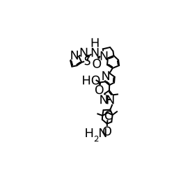 Cc1c(-c2ccc(-c3ccc4c(c3)N(C(=O)Nc3nc5ncccc5s3)CCC4)nc2C(=O)O)cnn1CC12CC3(C)CC(ON)(CC1(C)C3)C2